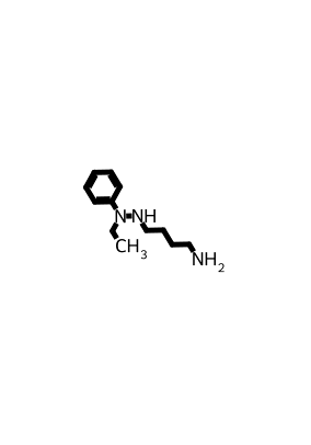 CCN(NCCCCN)c1ccccc1